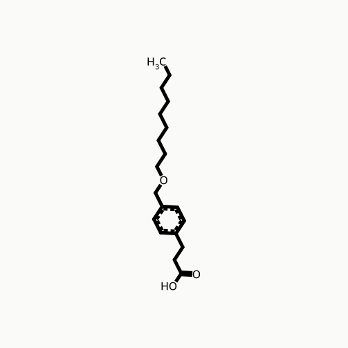 CCCCCCCCCOCc1ccc(CCC(=O)O)cc1